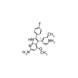 C=C/C=C(\C=C/N)c1c(-c2ccc(F)cc2)[nH]c2nc(N)cc(OC)c12